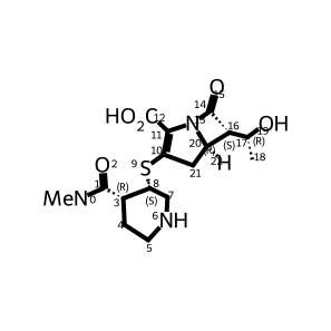 CNC(=O)[C@H]1CCNC[C@H]1SC1=C(C(=O)O)N2C(=O)[C@H]([C@@H](C)O)[C@H]2C1